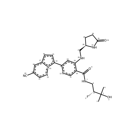 CC(C)(O)[C@H](F)CNC(=O)c1cnc(-c2ccc3cc(C#N)cnn23)cc1NC[C@H]1CCC(=O)N1